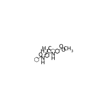 COC(=O)c1ccc2c(c1)CC(C)(C)C(c1ccc(NC(=O)C3=CCCCC3)cc1)N2